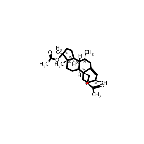 CC(=O)OC[C@]12CC[C@H](O)C=C1C[C@@H](C)[C@@H]1[C@@H]2CC[C@@]2(C)[C@H]1CC[C@]2(C)OC(C)=O